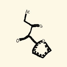 CC(=O)CC(=O)C(=O)c1ccco1